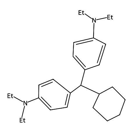 CCN(CC)c1ccc(C(c2ccc(N(CC)CC)cc2)C2CCCCC2)cc1